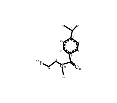 CC(C)c1ccc(C(=O)N(C)CCF)cc1